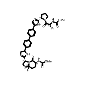 COC(=O)N[C@H]1CC[C@@H]2SC[C@@H](C3=NCC(c4ccc(-c5ccc(-c6cnc([C@@H]7CCCN7C(=O)[C@@H](NC(=O)OC)C(C)C)[nH]6)cc5)cc4)N3)N2C1=O